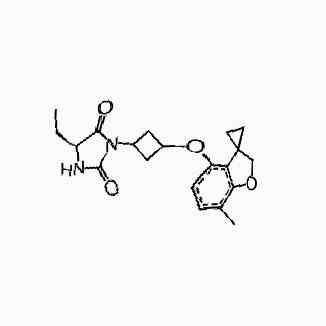 CC[C@@H]1NC(=O)N(C2CC(Oc3ccc(C)c4c3C3(CC3)CO4)C2)C1=O